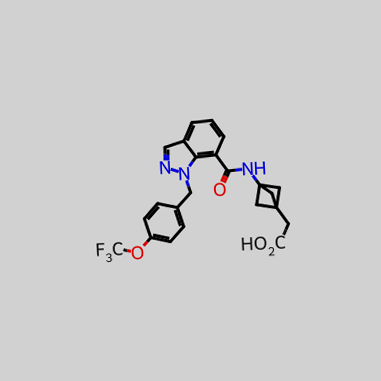 O=C(O)CC12CC(NC(=O)c3cccc4cnn(Cc5ccc(OC(F)(F)F)cc5)c34)(C1)C2